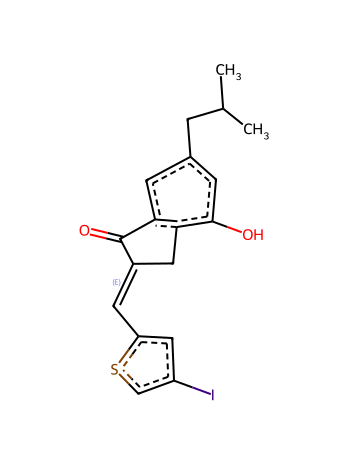 CC(C)Cc1cc(O)c2c(c1)C(=O)/C(=C/c1cc(I)cs1)C2